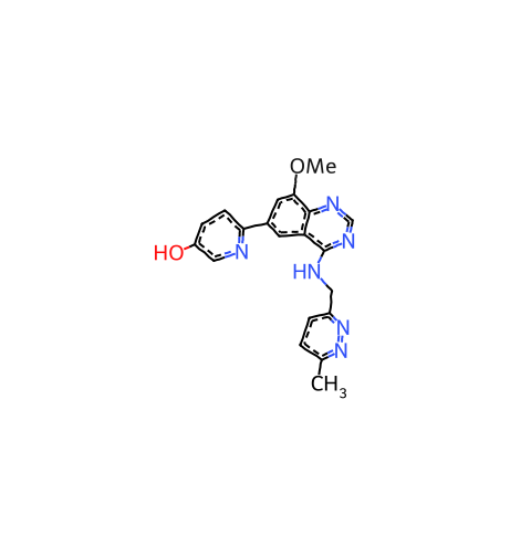 COc1cc(-c2ccc(O)cn2)cc2c(NCc3ccc(C)nn3)ncnc12